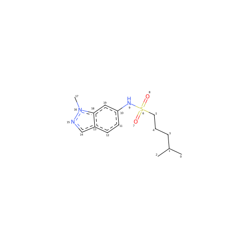 CC(C)CCCS(=O)(=O)Nc1ccc2cnn(C)c2c1